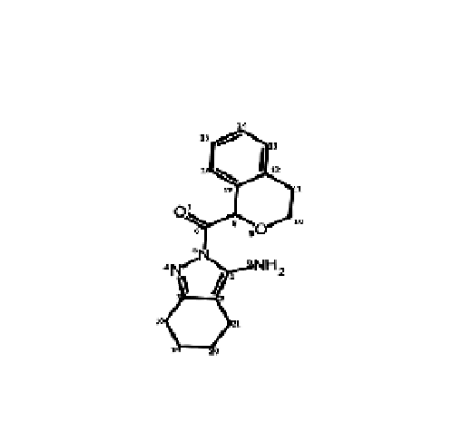 Nc1c2c(nn1C(=O)C1OCCc3ccccc31)CCCC2